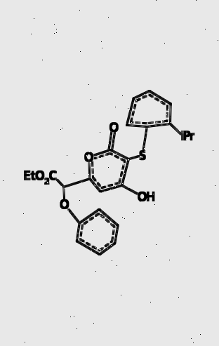 CCOC(=O)C(Oc1ccccc1)c1cc(O)c(Sc2ccccc2C(C)C)c(=O)o1